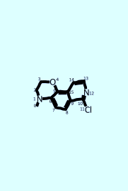 CN1CCOc2c1ccc1c(Cl)nccc21